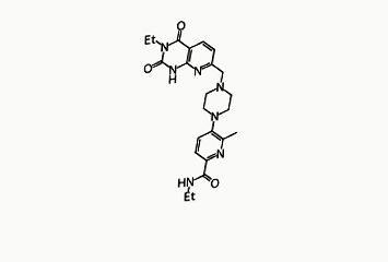 CCNC(=O)c1ccc(N2CCN(Cc3ccc4c(=O)n(CC)c(=O)[nH]c4n3)CC2)c(C)n1